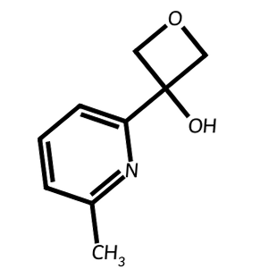 Cc1cccc(C2(O)COC2)n1